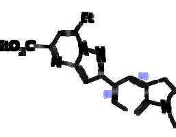 C=C1/C(=C\C(=C/C)c2cc3nc(C(=O)OCC)cc(CC)n3n2)CCN1C